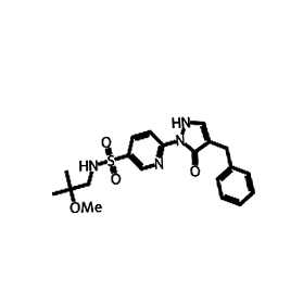 COC(C)(C)CNS(=O)(=O)c1ccc(-n2[nH]cc(Cc3ccccc3)c2=O)nc1